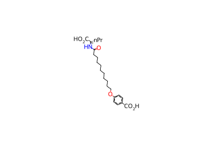 CCC[C@H](NC(=O)CCCCCCCCCCOc1ccc(C(=O)O)cc1)C(=O)O